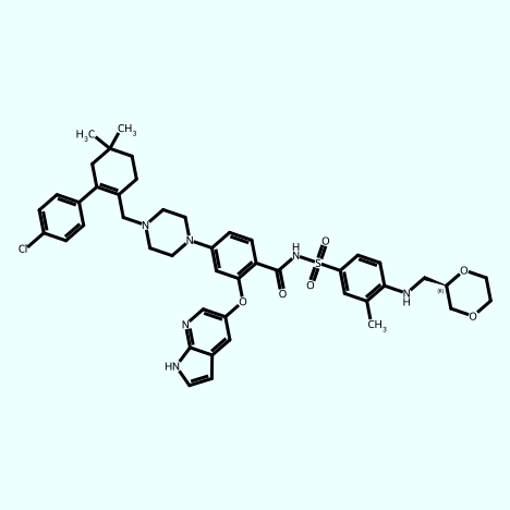 Cc1cc(S(=O)(=O)NC(=O)c2ccc(N3CCN(CC4=C(c5ccc(Cl)cc5)CC(C)(C)CC4)CC3)cc2Oc2cnc3[nH]ccc3c2)ccc1NC[C@@H]1COCCO1